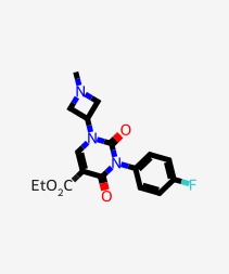 CCOC(=O)c1cn(C2CN(C)C2)c(=O)n(-c2ccc(F)cc2)c1=O